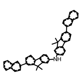 CC1(C)c2cc(Nc3ccc4c(c3)C(C)(C)c3cc(-c5ccc6ccccc6c5)ccc3-4)ccc2-c2ccc(-c3ccc4ccccc4c3)cc21